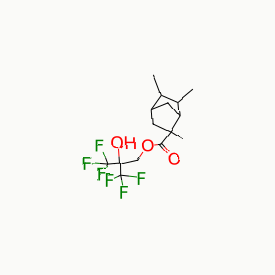 CC1C2CC(C1C)C(C)(C(=O)OCC(O)(C(F)(F)F)C(F)(F)F)C2